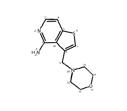 Nc1nccc2scc(CN3CCOCC3)c12